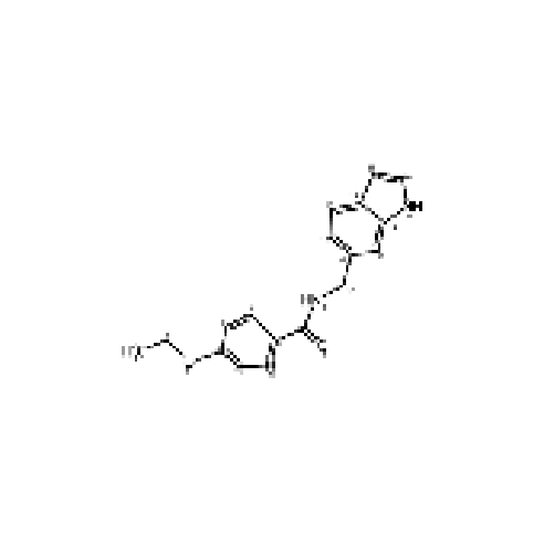 CCOc1ccc(C(=O)NCc2ccc3cc[nH]c3c2)nc1